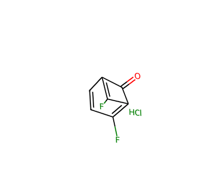 Cl.O=C1c2ccc(F)c1c2F